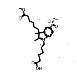 COC(=O)CCCCCC1(C)C(C)=[N+](CCCCCC(=O)O)c2ccc(S(=O)(=O)O)cc21